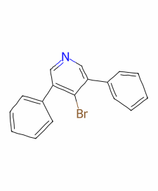 Brc1c(-c2ccccc2)cncc1-c1ccccc1